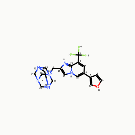 FC(F)(F)c1cc(-c2ccoc2)cn2cc(C[N+]34CN5CN(CN(C5)C3)C4)nc12